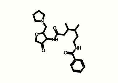 CC(CCNC(=O)c1ccccc1)C(C)CC(=O)NC1C(=O)COC1CN1CCCC1